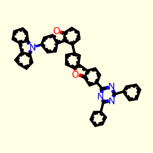 c1ccc(-c2nc(-c3ccccc3)nc(-c3ccc4c(c3)oc3ccc(-c5cccc6oc7cc(-n8c9ccccc9c9ccccc98)ccc7c56)cc34)n2)cc1